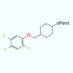 CCCCCC1CCC(COc2cc(F)c(F)cc2F)CC1